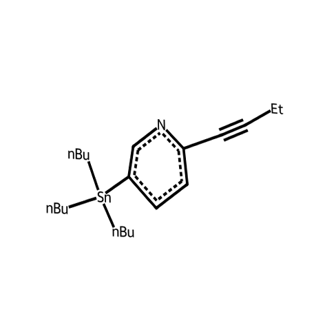 CCC#Cc1cc[c]([Sn]([CH2]CCC)([CH2]CCC)[CH2]CCC)cn1